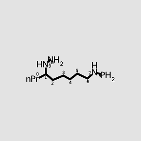 CCCC(CCCCCNP)NN